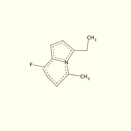 CCc1ccc2c(F)ccc(C)n12